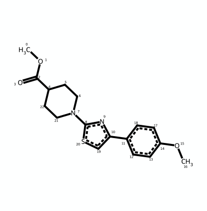 COC(=O)C1CCN(c2nc(-c3ccc(OC)cc3)cs2)CC1